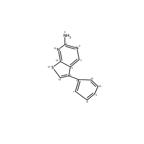 Nc1ncc2c(-c3ccccc3)csc2n1